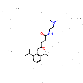 CC(C)c1cccc(C(C)C)c1CC(=O)CCC(=O)NCCN(C)C